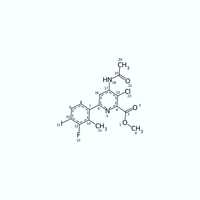 COC(=O)c1nc(-c2ccc(I)c(F)c2C)cc(NC(C)=O)c1Cl